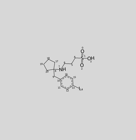 O=S(=O)(O)CCCNC1(Cc2ccc(I)cc2)CCCC1